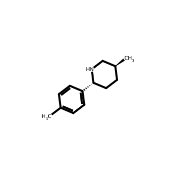 Cc1ccc([C@H]2CC[C@H](C)CN2)cc1